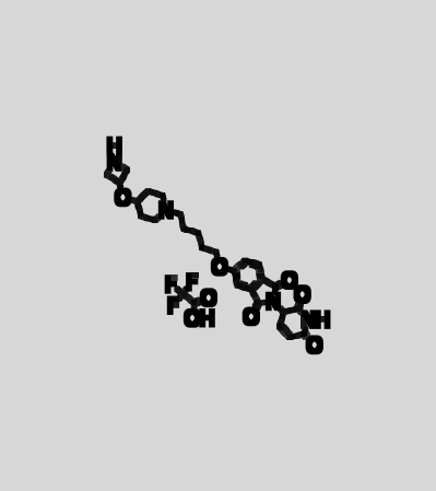 O=C(O)C(F)(F)F.O=C1C=CC(N2C(=O)c3ccc(OCCCCCN4CCC(OC5CNC5)CC4)cc3C2=O)C(=O)N1